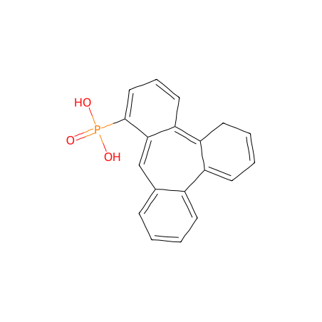 O=P(O)(O)c1cccc2c1=Cc1ccccc1C1=CC=CCC=21